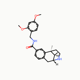 COc1ccc(CNC(=O)c2ccc3c(c2)[C@@]2(C)CCN[C@H](C3)[C@@H]2C)c(OC)c1